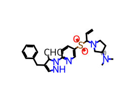 C=CC(N1CC[C@@H](N(C)C)C1)S(=O)(=O)c1ccc(N2NC=C(Cc3ccccc3)C2C=O)nc1